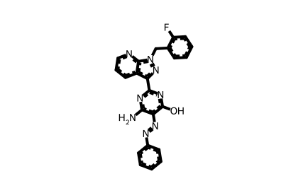 Nc1nc(-c2nn(Cc3ccccc3F)c3ncccc23)nc(O)c1N=Nc1ccccc1